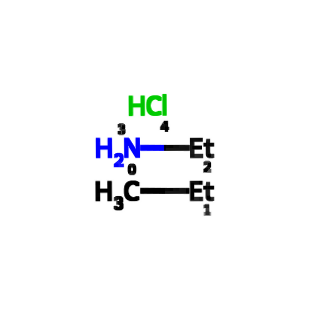 CCC.CCN.Cl